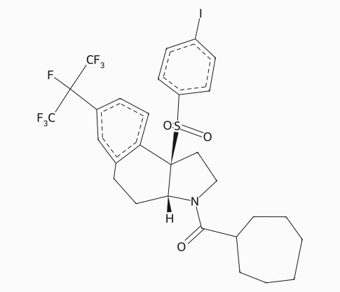 O=C(C1CCCCCC1)N1CC[C@@]2(S(=O)(=O)c3ccc(I)cc3)c3ccc(C(F)(C(F)(F)F)C(F)(F)F)cc3CC[C@@H]12